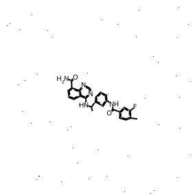 Cc1ccc(C(=O)Nc2cccc(C(C)Nc3ncnc4c(C(N)=O)cccc34)c2)cc1F